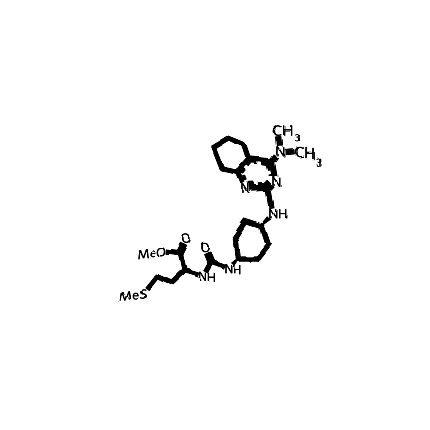 COC(=O)C(CCSC)NC(=O)N[C@H]1CC[C@@H](Nc2nc3c(c(N(C)C)n2)CCCC3)CC1